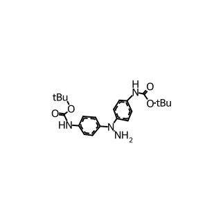 CC(C)(C)OC(=O)Nc1ccc(N(N)c2ccc(NC(=O)OC(C)(C)C)cc2)cc1